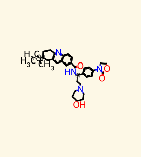 C[Si](C)(C)[C@H]1CCc2nc3ccc(C(=O)N[C@H](CCN4CCC(O)CC4)c4ccc(N5CCOC5=O)cc4)cc3cc2C1